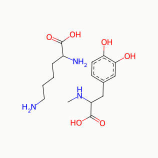 CNC(Cc1ccc(O)c(O)c1)C(=O)O.NCCCCC(N)C(=O)O